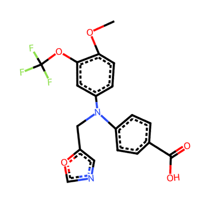 COc1ccc(N(Cc2cnco2)c2ccc(C(=O)O)cc2)cc1OC(F)(F)F